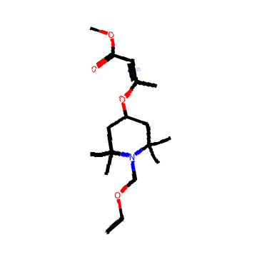 CCOCN1C(C)(C)CC(O/C(C)=C\C(=O)OC)CC1(C)C